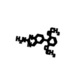 COc1cccc(OC)c1-c1ccc2nc(N)ncc2c1